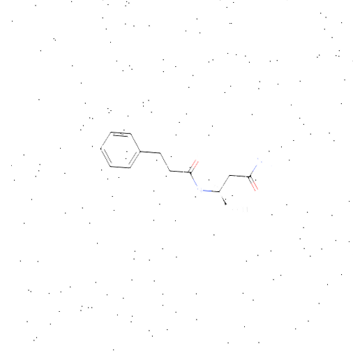 NC(=O)C[C@H](NC(=O)CCc1ccccc1)C(=O)O